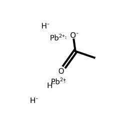 CC(=O)[O-].[H-].[H-].[H-].[Pb+2].[Pb+2]